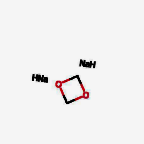 C1OCO1.[NaH].[NaH]